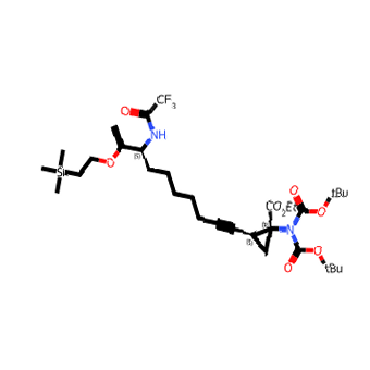 C=C(OCC[Si](C)(C)C)[C@H](CCCCCC#C[C@@H]1C[C@@]1(C(=O)OCC)N(C(=O)OC(C)(C)C)C(=O)OC(C)(C)C)NC(=O)C(F)(F)F